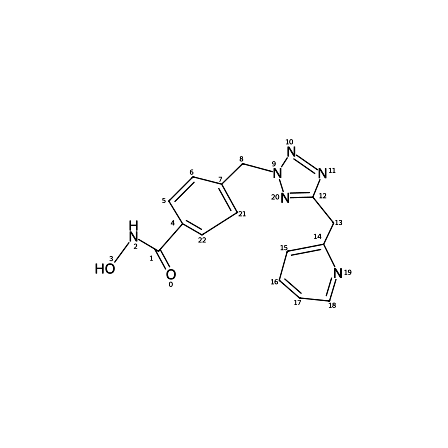 O=C(NO)c1ccc(Cn2nnc(Cc3ccccn3)n2)cc1